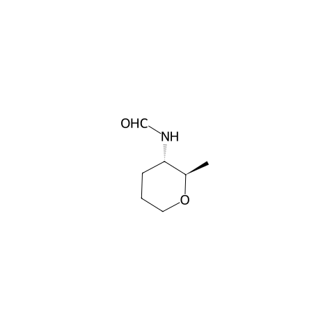 C[C@H]1OCCC[C@@H]1NC=O